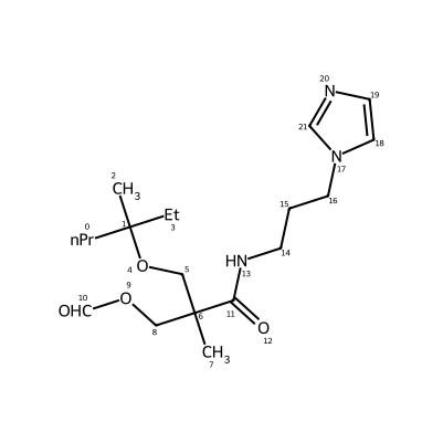 CCCC(C)(CC)OCC(C)(COC=O)C(=O)NCCCn1ccnc1